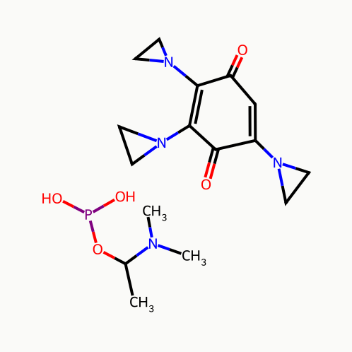 CC(OP(O)O)N(C)C.O=C1C=C(N2CC2)C(=O)C(N2CC2)=C1N1CC1